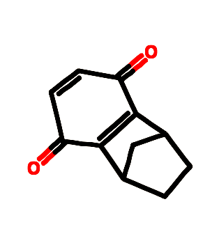 O=C1C=CC(=O)C2=C1C1CCC2C1